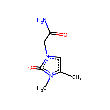 Cc1cn(CC(N)=O)c(=O)n1C